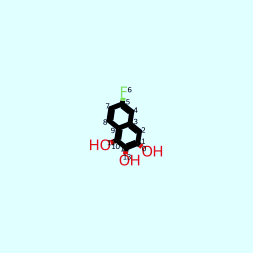 Oc1cc2cc(F)ccc2c(O)c1O